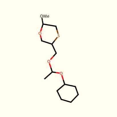 COC1CSC(COC(C)OC2CCCCC2)CO1